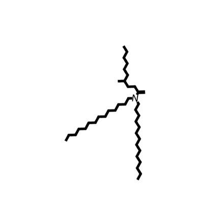 C=C(CCC(C)CCCCCC)N(CCCCCCCCCCCCCC)CCCCCCCCCCCCCC